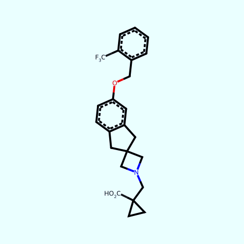 O=C(O)C1(CN2CC3(Cc4ccc(OCc5ccccc5C(F)(F)F)cc4C3)C2)CC1